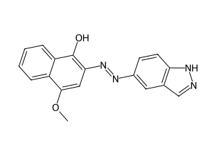 COc1cc(/N=N/c2ccc3[nH]ncc3c2)c(O)c2ccccc12